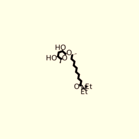 CCN(CC)C(=O)CCCCCCCC[C@@H](C)O[C@@H]1O[C@@H](C)[C@H](O)C[C@H]1O